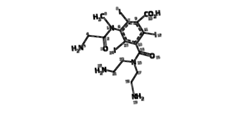 CN(C(=O)CN)c1c(I)c(C(=O)O)c(I)c(C(=O)N(CCN)CCN)c1I